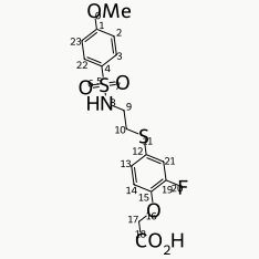 COc1ccc(S(=O)(=O)NCCSc2ccc(OCC(=O)O)c(F)c2)cc1